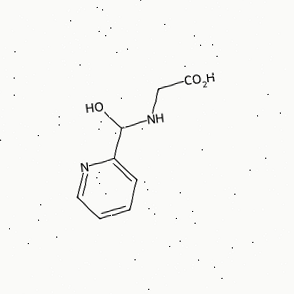 O=C(O)CNC(O)c1ccccn1